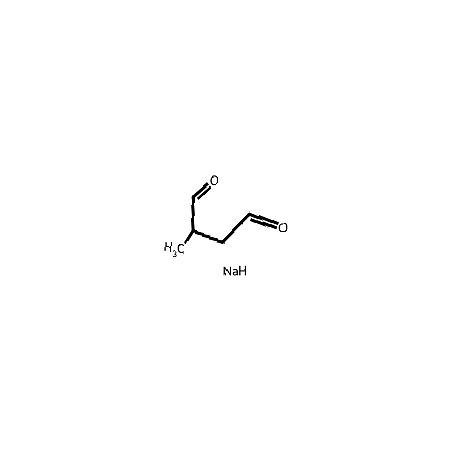 CC(C=O)CC=O.[NaH]